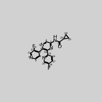 O=C(Nc1cnc(-c2ccncc2F)c(-c2ccc(F)cn2)n1)C1CC1